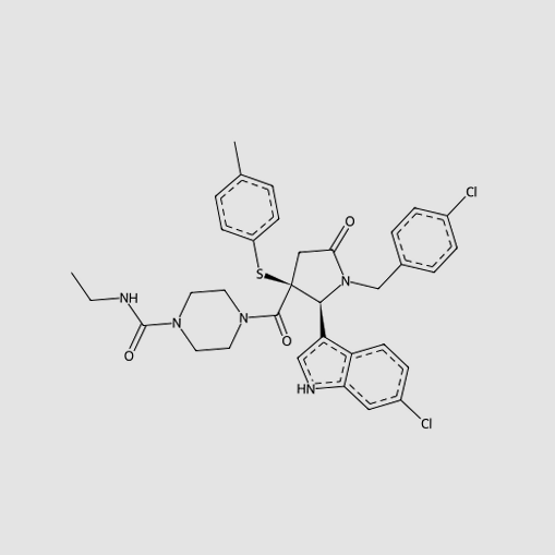 CCNC(=O)N1CCN(C(=O)[C@]2(Sc3ccc(C)cc3)CC(=O)N(Cc3ccc(Cl)cc3)[C@H]2c2c[nH]c3cc(Cl)ccc23)CC1